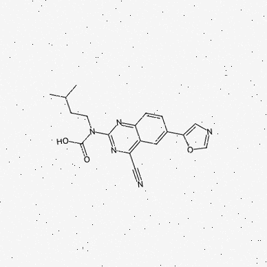 CC(C)CCN(C(=O)O)c1nc(C#N)c2cc(-c3cnco3)ccc2n1